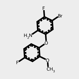 COc1cc(F)ccc1Oc1cc(Br)c(F)cc1N